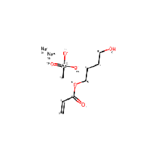 C=CC(=O)OCCCCO.C[As](=O)([O-])[O-].[Na+].[Na+]